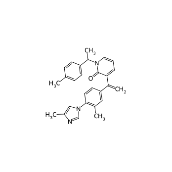 C=C(c1ccc(-n2cnc(C)c2)c(C)c1)c1cccn(C(C)c2ccc(C)cc2)c1=O